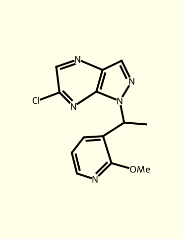 COc1ncccc1C(C)n1ncc2ncc(Cl)nc21